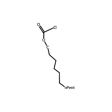 CCCCCCCCCCCOC(=O)Cl